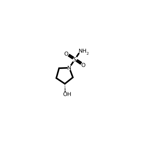 NS(=O)(=O)N1CC[C@@H](O)C1